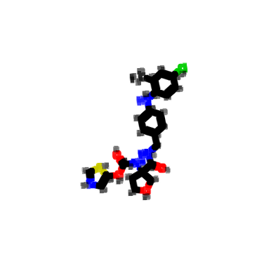 O=C(N[C@@]1(C(=O)NCc2ccc(Nc3ccc(Cl)cc3C(F)(F)F)cc2)CCOC1)Oc1cncs1